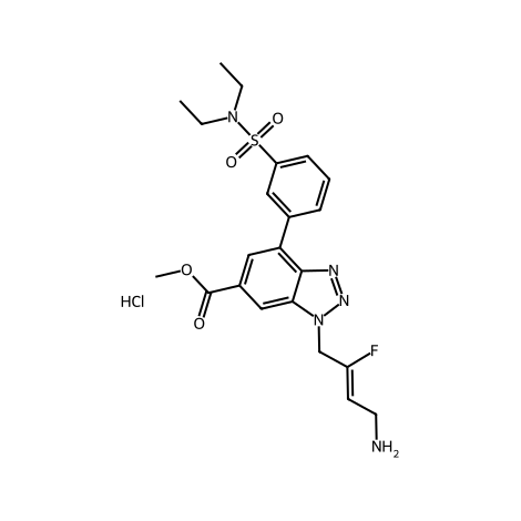 CCN(CC)S(=O)(=O)c1cccc(-c2cc(C(=O)OC)cc3c2nnn3C/C(F)=C/CN)c1.Cl